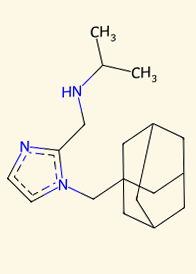 CC(C)NCc1nccn1CC12CC3CC(CC(C3)C1)C2